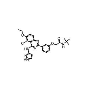 CCOc1ccc2nc(-c3cccc(OCC(=O)NC(C)(C)C)c3)nc(Nc3cc[nH]n3)c2c1Cl